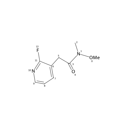 CON(C)C(=O)Cc1cccnc1F